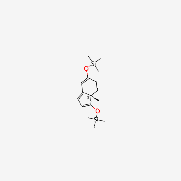 C[C@]12CCC(O[Si](C)(C)C)=CC1=CC=C2O[Si](C)(C)C